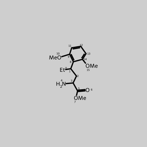 CCC(CC(N)C(=O)OC)c1c(OC)cccc1OC